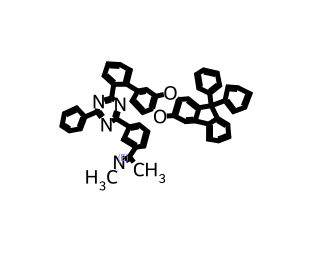 C/N=C(\C)c1cccc(-c2nc(-c3ccccc3)nc(-c3ccccc3-c3ccc4c(c3)Oc3cc5c(cc3O4)-c3ccccc3C5(c3ccccc3)c3ccccc3)n2)c1